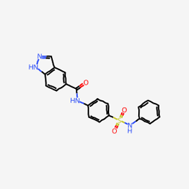 O=C(Nc1ccc(S(=O)(=O)Nc2ccccc2)cc1)c1ccc2[nH]ncc2c1